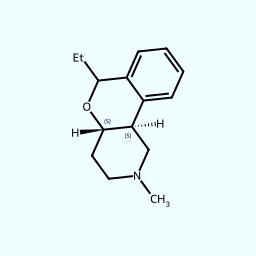 CCC1O[C@H]2CCN(C)C[C@@H]2c2ccccc21